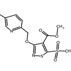 COC(=O)c1c(OCc2ccc(Br)cn2)nsc1S(C)(=O)=O